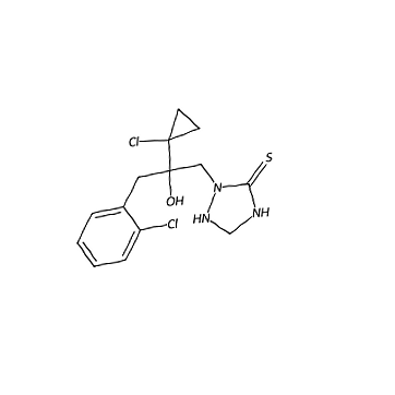 OC(Cc1ccccc1Cl)(CN1NCNC1=S)C1(Cl)CC1